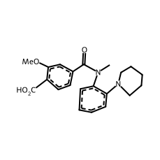 COc1cc(C(=O)N(C)c2ccccc2N2CCCCC2)ccc1C(=O)O